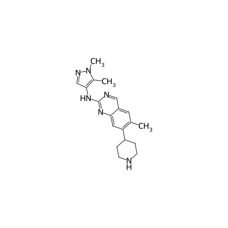 Cc1cc2cnc(Nc3cnn(C)c3C)nc2cc1C1CCNCC1